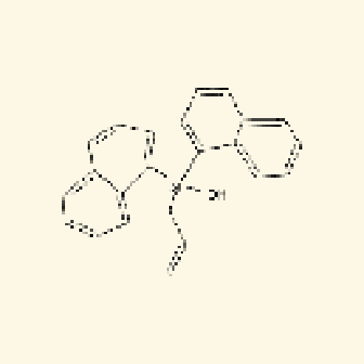 C=CC[Si](O)(c1cccc2ccccc12)c1cccc2ccccc12